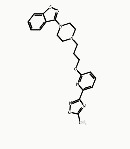 Cc1nc(-c2cccc(OCCCN3CCN(c4nsc5ccccc45)CC3)n2)no1